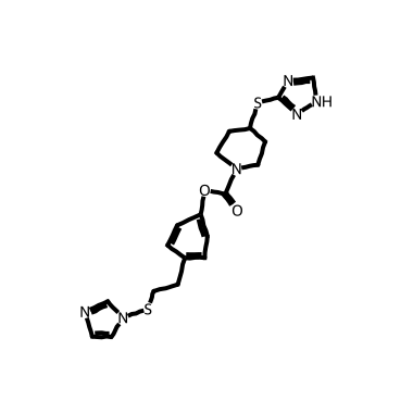 O=C(Oc1ccc(CCSn2ccnc2)cc1)N1CCC(Sc2nc[nH]n2)CC1